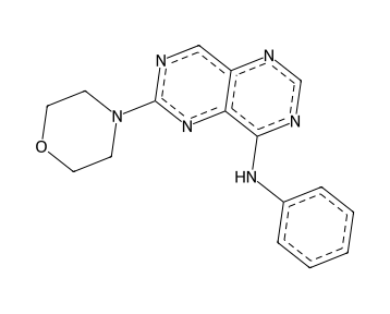 c1ccc(Nc2ncnc3cnc(N4CCOCC4)nc23)cc1